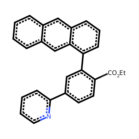 CCOC(=O)c1ccc(-c2ccccn2)cc1-c1cccc2cc3ccccc3cc12